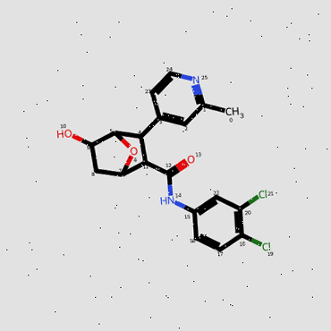 Cc1cc(C2C3OC(CC3O)C2C(=O)Nc2ccc(Cl)c(Cl)c2)ccn1